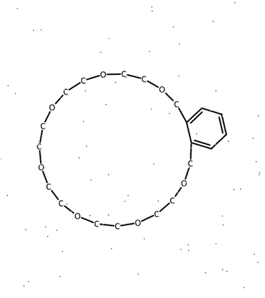 c1ccc2c(c1)COCCOCCOCCOCCOCCOCCOC2